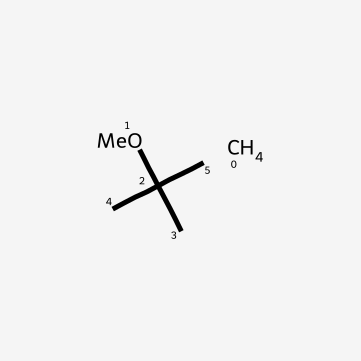 C.COC(C)(C)C